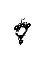 Cc1ccc(-c2cc3cc(n2)CCCn2cc(c4ccccc42)C2=C(C(=O)NC2=O)c2cn(c4ccccc24)CCC3)cc1